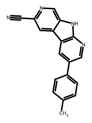 Cc1ccc(-c2cnc3[nH]c4cnc(C#N)cc4c3c2)cc1